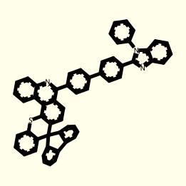 c1ccc(-n2c(-c3ccc(-c4ccc(-c5nc6ccccc6c6c7c(ccc56)C5(c6ccccc6S7)c6ccccc6-c6ccccc65)cc4)cc3)nc3ccccc32)cc1